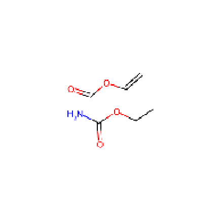 C=COC=O.CCOC(N)=O